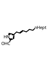 CCCCCCCCCCC=CCc1c[nH]c(C=O)c1